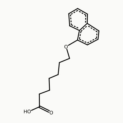 O=C(O)CCCCCCOc1cccc2ccccc12